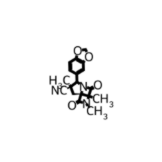 CN1C(=O)[C@]23C[C@@](C)(C#N)C(c4ccc5c(c4)OCO5)N2C(=O)C13C